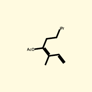 C=CC(C)=C(CCC(C)C)OC(C)=O